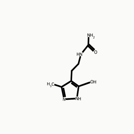 Cc1n[nH]c(O)c1CCNC(N)=O